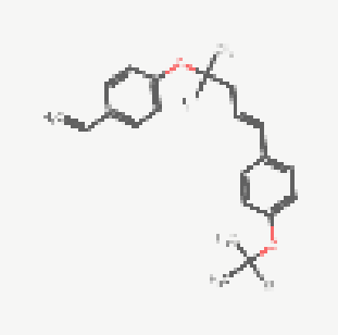 C=Cc1ccc(OC(C)(C)C/C=C/c2ccc(OC(C)(C)CC)cc2)cc1